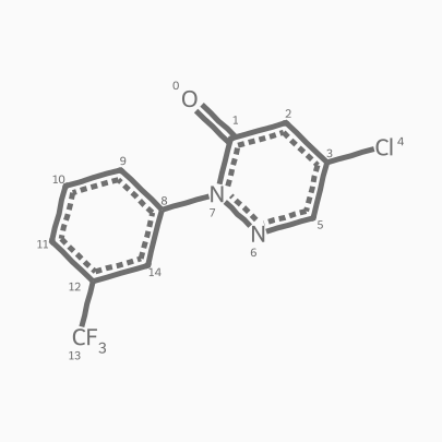 O=c1cc(Cl)cnn1-c1cccc(C(F)(F)F)c1